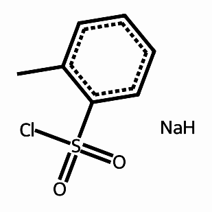 Cc1ccccc1S(=O)(=O)Cl.[NaH]